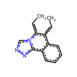 C/C=c1\c(=C/C)n2cnnc2c2ccccc12